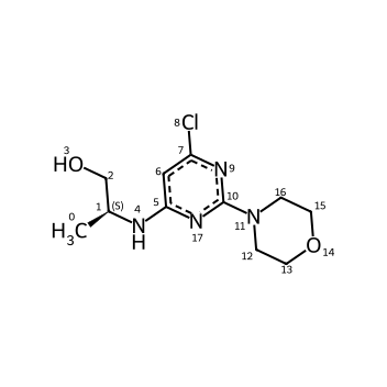 C[C@@H](CO)Nc1cc(Cl)nc(N2CCOCC2)n1